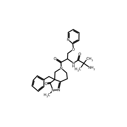 CN1N=C2CCN(C(=O)C(COc3ccccn3)NC(=O)C(C)(C)N)CC2(Cc2ccccc2)C1=O